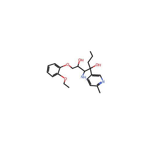 CCCC(O)(c1ccc(C)nc1)C(N)C(O)COc1ccccc1OCC